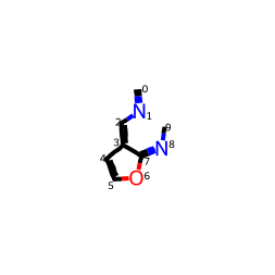 C=N/C=C1/C=CO/C1=N/C